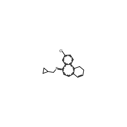 Clc1ccc2c3c(ccc(=NCC4CC4)c2c1)C=CCC3